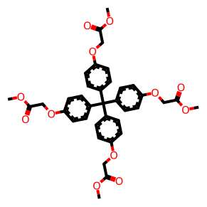 COC(=O)COc1ccc(C(c2ccc(OCC(=O)OC)cc2)(c2ccc(OCC(=O)OC)cc2)c2ccc(OCC(=O)OC)cc2)cc1